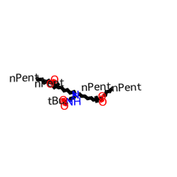 CCCCCC(CCCCC)CCCOC(=O)C(C)(C)CCCCCCN(CCCCCCC(C)(C)C(=O)OCCCC(CCCCC)CCCCC)CCNC(=O)OC(C)(C)C